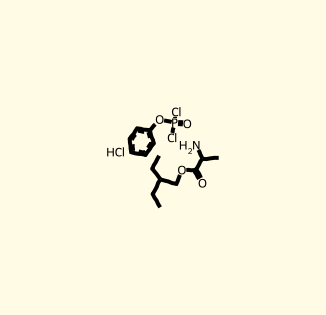 CCC(CC)COC(=O)C(C)N.Cl.O=P(Cl)(Cl)Oc1ccccc1